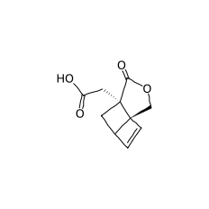 O=C(O)C[C@@]12CC3C=C[C@]31COC2=O